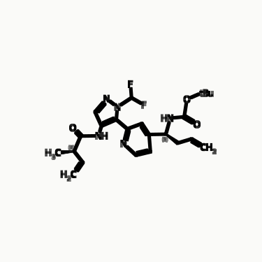 C=CC[C@H](NC(=O)OC(C)(C)C)c1ccnc(-c2c(NC(=O)[C@H](C)C=C)cnn2C(F)F)c1